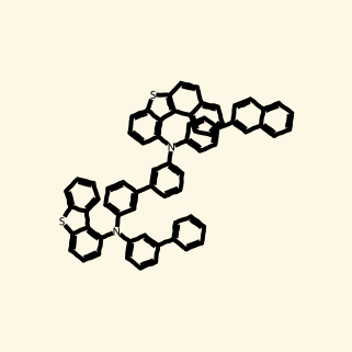 c1ccc(-c2cccc(N(c3cccc(-c4cccc(N(c5ccc(-c6ccc7ccccc7c6)cc5)c5cccc6sc7ccc8ccccc8c7c56)c4)c3)c3cccc4sc5ccccc5c34)c2)cc1